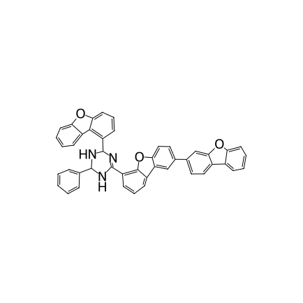 c1ccc(C2NC(c3cccc4c3oc3ccc(-c5ccc6c(c5)oc5ccccc56)cc34)=NC(c3cccc4oc5ccccc5c34)N2)cc1